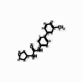 Cc1cc(-c2ccc(NC(=O)NC3CCOC3)cc2)ccn1